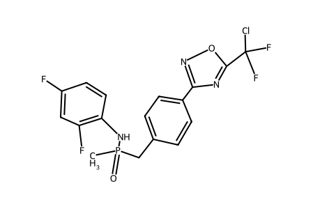 CP(=O)(Cc1ccc(-c2noc(C(F)(F)Cl)n2)cc1)Nc1ccc(F)cc1F